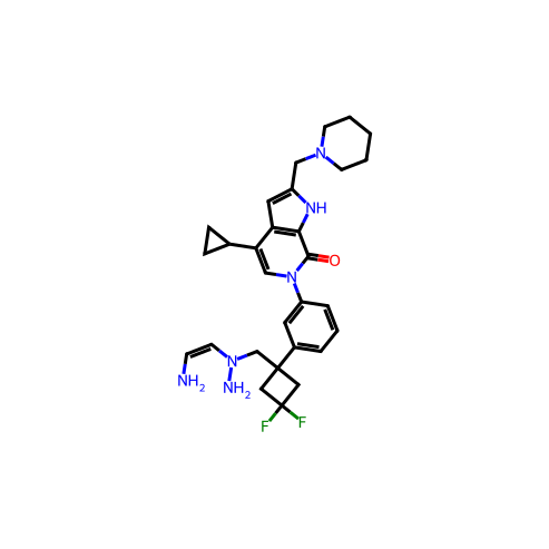 N/C=C\N(N)CC1(c2cccc(-n3cc(C4CC4)c4cc(CN5CCCCC5)[nH]c4c3=O)c2)CC(F)(F)C1